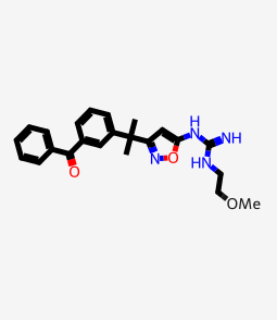 COCCNC(=N)Nc1cc(C(C)(C)c2cccc(C(=O)c3ccccc3)c2)no1